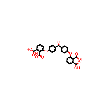 O=C(c1ccc(Oc2cccc(C(=O)O)c2C(=O)O)cc1)c1ccc(Oc2cccc(C(=O)O)c2C(=O)O)cc1